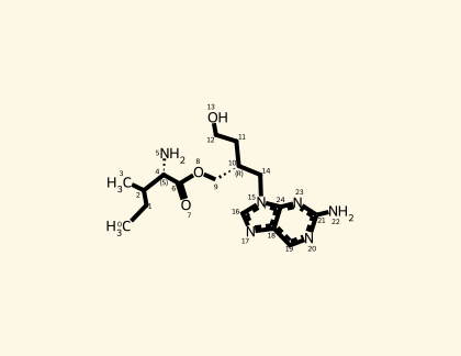 CCC(C)[C@H](N)C(=O)OC[C@H](CCO)Cn1cnc2cnc(N)nc21